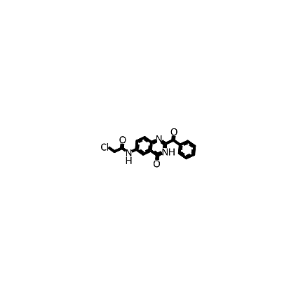 O=C(CCl)Nc1ccc2nc(C(=O)c3ccccc3)[nH]c(=O)c2c1